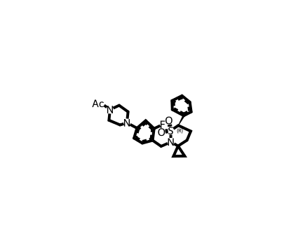 CC(=O)N1CCN(c2ccc(CN3C4(CC[C@H](c5ccccc5)S3(=O)=O)CC4)c(F)c2)CC1